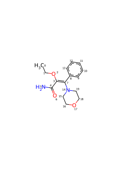 CCOC(C(N)=O)=C(c1ccccc1)N1CCOCC1